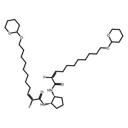 O=C(N[C@H]1CCC[C@H]1NC(=O)/C(F)=C\CCCCCCCCOC1CCCCO1)/C(F)=C\CCCCCCCCOC1CCCCO1